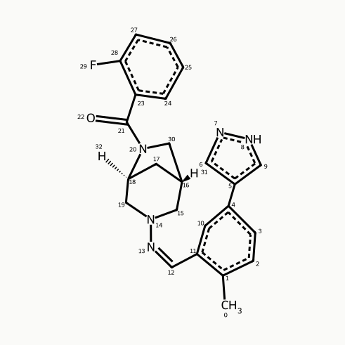 Cc1ccc(-c2cn[nH]c2)cc1/C=N\N1C[C@@H]2C[C@@H](C1)N(C(=O)c1ccccc1F)C2